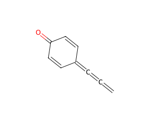 C=C=C=C1C=CC(=O)C=C1